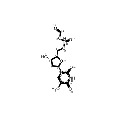 Cc1cn([C@H]2C[C@H](O)[C@@H](CO[PH](=O)OC=O)O2)c(=O)[nH]c1=O